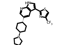 FC(F)(F)c1csc(-c2c[nH]c3ncc([C@H]4CC[C@H](N5CCCC5)CC4)cc23)n1